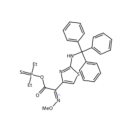 CCP(=S)(CC)OC(=O)/C(=N\OC)c1csc(NC(c2ccccc2)(c2ccccc2)c2ccccc2)n1